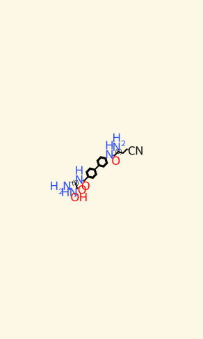 N#CCC[C@H](N)C(=O)Nc1ccc(-c2ccc(C(=O)N[C@@H](CN)C(=O)NO)cc2)cc1